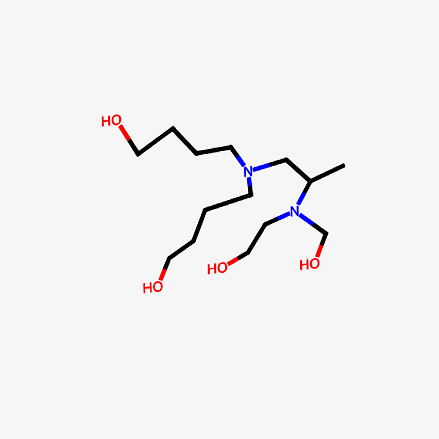 CC(CN(CCCCO)CCCCO)N(CO)CCO